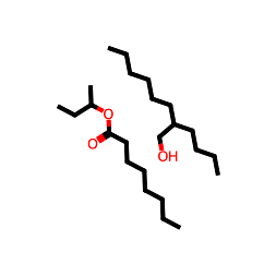 CCCCCCC(CO)CCCC.CCCCCCCC(=O)OC(C)CC